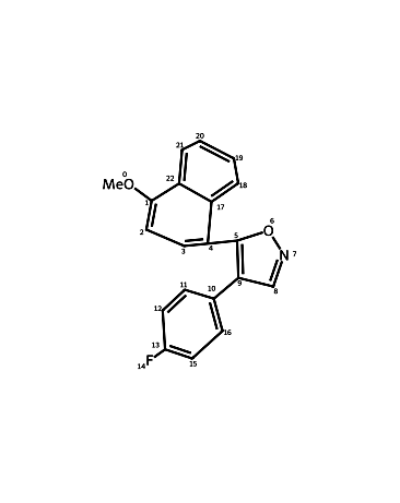 COc1ccc(-c2oncc2-c2ccc(F)cc2)c2ccccc12